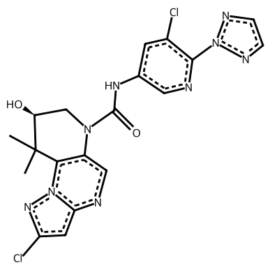 CC1(C)c2c(cnc3cc(Cl)nn23)N(C(=O)Nc2cnc(-n3nccn3)c(Cl)c2)C[C@@H]1O